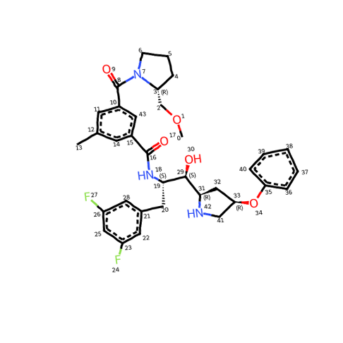 COC[C@H]1CCCN1C(=O)c1cc(C)cc(C(=O)N[C@@H](Cc2cc(F)cc(F)c2)[C@@H](O)[C@H]2C[C@@H](Oc3ccccc3)CN2)c1